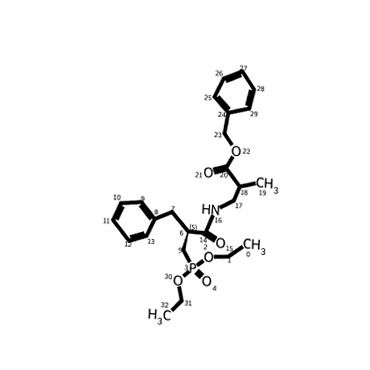 CCOP(=O)(C[C@@H](Cc1ccccc1)C(=O)NCC(C)C(=O)OCc1ccccc1)OCC